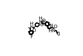 COCCNC(=O)c1ccc2cc(S(=O)(=O)N[C@H]3CC[C@H](C(=O)N[C@H](C)c4ccc(F)cc4)CC3)ccc2n1